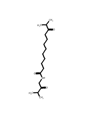 CC(C)C(=O)CCCCCCCCC(=O)NCC(=O)C(C)C